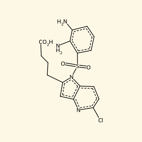 Nc1cccc(S(=O)(=O)n2c(CCCC(=O)O)cc3nc(Cl)ccc32)c1N